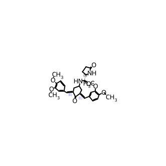 COc1ccc(/C=C2\CC(NC(=O)[C@@H]3CCC(=O)N3)C/C(=C\c3ccc(OC)c(OC)c3)C2=O)cc1OC